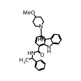 COC1CCN(N2CNC34C(=C(C(=O)NC(C)c5ccccc5)C=CC23)Nc2ccccc24)CC1